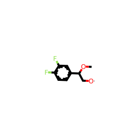 COC(C[O])c1ccc(F)c(F)c1